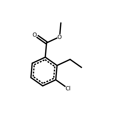 CCc1c(Cl)cccc1C(=O)OC